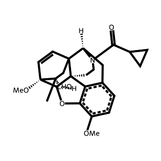 COc1ccc2c3c1O[C@@H]1[C@]34CCN(C(=O)C3CC3)[C@H](C2)C42C=C[C@@]1(OC)[C@@](C)(C=O)C2